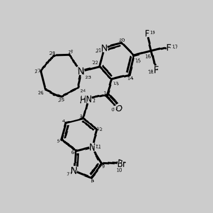 O=C(Nc1ccc2ncc(Br)n2c1)c1cc(C(F)(F)F)cnc1N1CCCCCC1